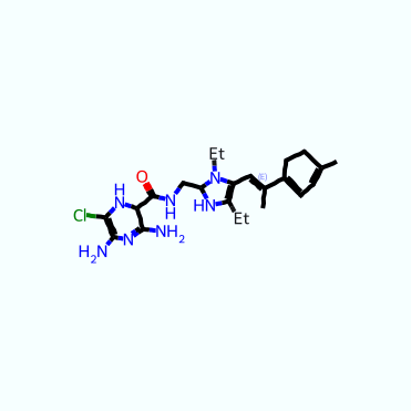 CCC1=C(/C=C(\C)C2=CC=C(C)CC2)N(CC)C(CNC(=O)C2NC(Cl)=C(N)N=C2N)N1